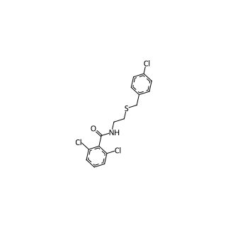 O=C(NCCSCc1ccc(Cl)cc1)c1c(Cl)cccc1Cl